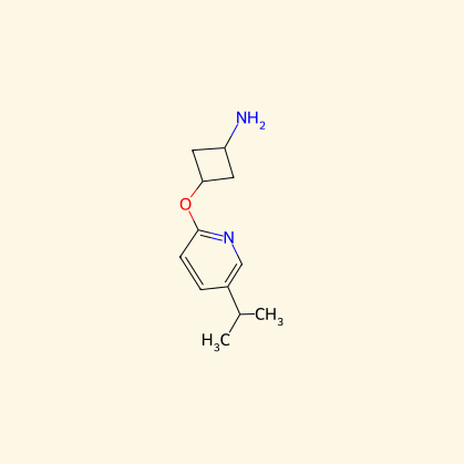 CC(C)c1ccc(OC2CC(N)C2)nc1